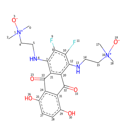 C[N+](C)([O-])CCNc1c(F)c(F)c(NCC[N+](C)(C)[O-])c2c1C(=O)c1c(O)ccc(O)c1C2=O